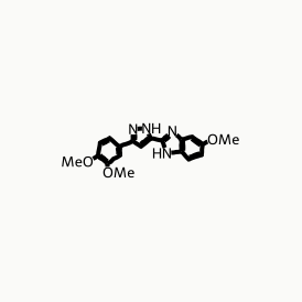 COc1ccc2[nH]c(-c3cc(-c4ccc(OC)c(OC)c4)n[nH]3)nc2c1